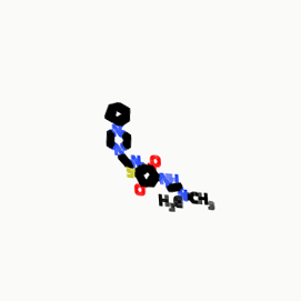 CN(C)CCNC1=CC(=O)c2sc(CN3CCN(c4ccccc4)CC3)nc2C1=O